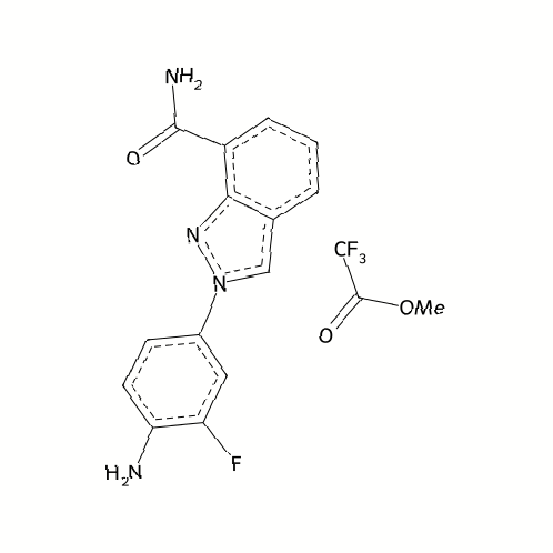 COC(=O)C(F)(F)F.NC(=O)c1cccc2cn(-c3ccc(N)c(F)c3)nc12